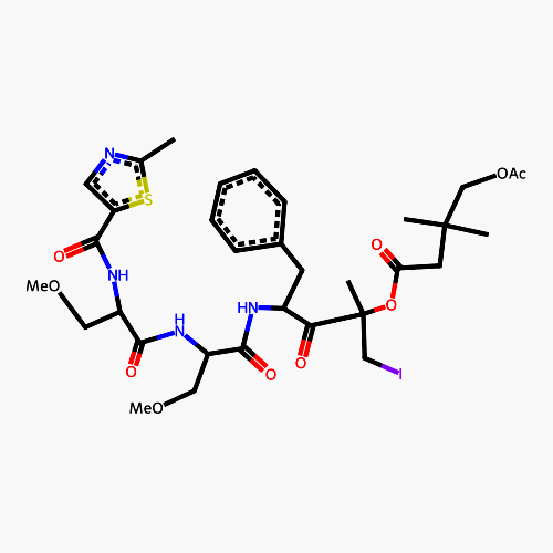 COCC(NC(=O)c1cnc(C)s1)C(=O)NC(COC)C(=O)NC(Cc1ccccc1)C(=O)C(C)(CI)OC(=O)CC(C)(C)COC(C)=O